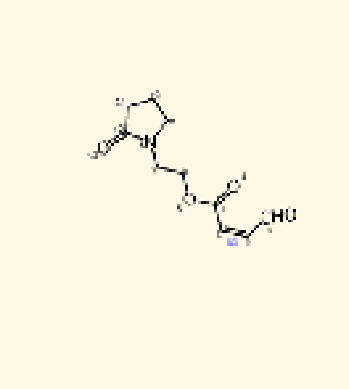 O=C/C=C\C(=O)OCCN1CCCC1=O